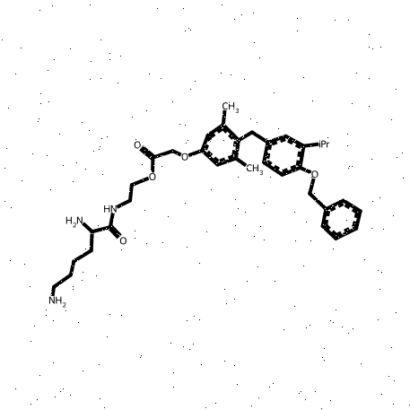 Cc1cc(OCC(=O)OCCNC(=O)C(N)CCCCN)cc(C)c1Cc1ccc(OCc2ccccc2)c(C(C)C)c1